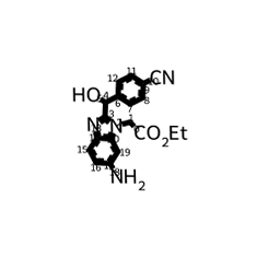 CCOC(=O)Cn1c(C(O)c2ccc(C#N)cc2)nc2ccc(N)cc21